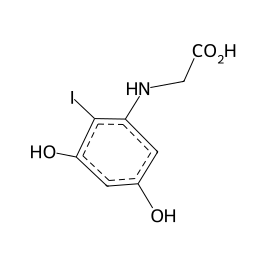 O=C(O)CNc1cc(O)cc(O)c1I